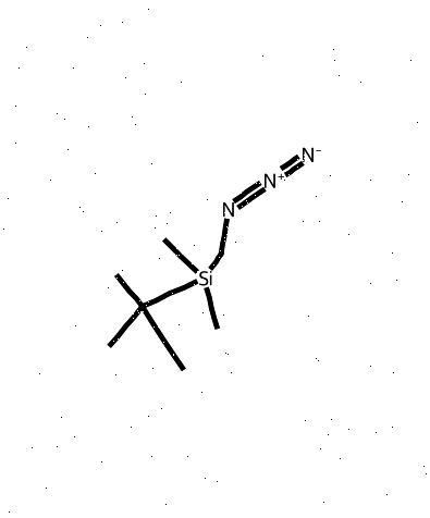 CC(C)(C)[Si](C)(C)CN=[N+]=[N-]